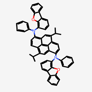 CC(C)c1cc2c(N(c3ccccc3)c3cccc4c3oc3ccccc34)ccc3c(C(C)C)cc4c(N(c5ccccc5)c5cccc6c5oc5ccccc56)ccc1c4c32